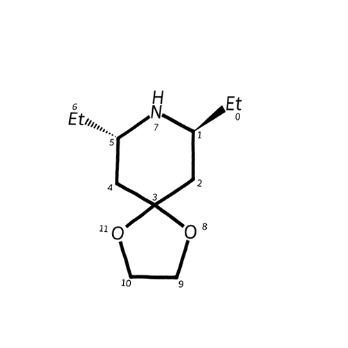 CC[C@H]1CC2(C[C@H](CC)N1)OCCO2